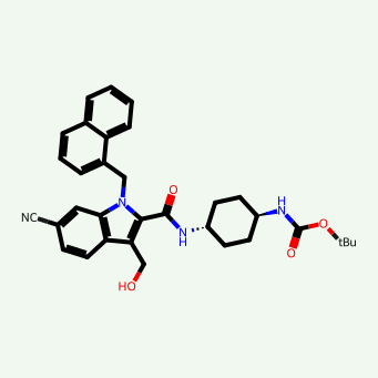 CC(C)(C)OC(=O)N[C@H]1CC[C@H](NC(=O)c2c(CO)c3ccc(C#N)cc3n2Cc2cccc3ccccc23)CC1